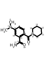 CN(C)c1ccc(C(=O)N2CCCCC2)c(C(N)=O)c1